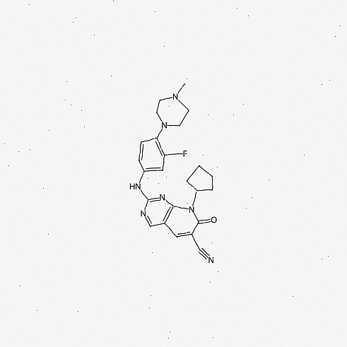 CN1CCN(c2ccc(Nc3ncc4cc(C#N)c(=O)n(C5CCCC5)c4n3)cc2F)CC1